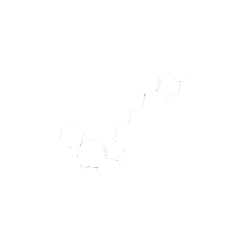 CCc1nn(CCCCC(=O)c2ccc(C)cc2C)c2c1C(=O)NCC1(CCOCC1)C2